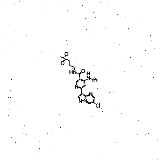 CC(C)Nc1cc(-c2cnn3cc(Cl)cnc23)ncc1C(=O)NCCCS(C)(=O)=O